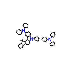 CC1(C)c2ccccc2-c2ccc3c(c21)c1cc(N(c2ccccc2)c2ccccc2)ccc1n3-c1ccc(-c2ccc(N(c3ccccc3)c3ccccc3)cc2)cc1